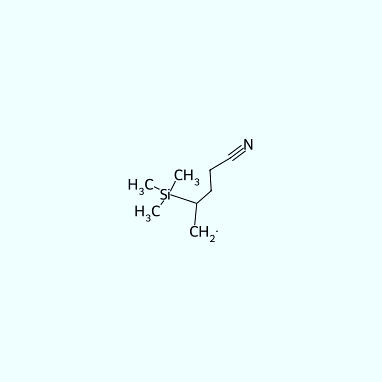 [CH2]C(CCC#N)[Si](C)(C)C